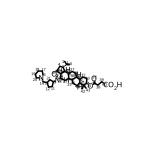 C=C(C)[C@@H]1CC[C@]2(C(=O)NC3CCC(CN4CCCCC4)C3)CC[C@]3(C)[C@H](CC[C@@H]4[C@@]5(C)CC[C@H](OC(=O)CCC(=O)O)C(C)(C)[C@@H]5CC[C@]43C)[C@@H]12